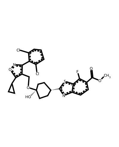 COC(=O)c1ccc2nc([C@H]3CC[C@](O)(OCc4c(-c5c(Cl)cccc5Cl)noc4C4CC4)CC3)sc2c1F